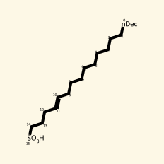 CCCCCCCCCCCCCCCCCCCC=CCCCS(=O)(=O)O